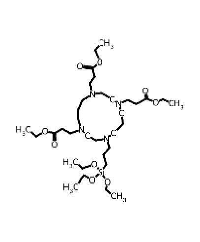 CCOC(=O)CCN1CCCN(CCC(=O)OCC)CCN(CCC(=O)OCC)CCCN(CCC[Si](OCC)(OCC)OCC)CC1